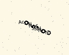 CC(=O)c1ccc(N=Nc2cc3sc(N=Nc4ccc(N5CCCCC5)cc4)nc3s2)cc1